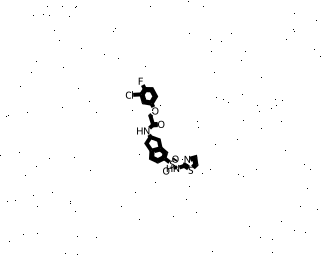 O=C(COc1ccc(F)c(Cl)c1)NC1Cc2ccc(S(=O)(=O)Nc3nccs3)cc2C1